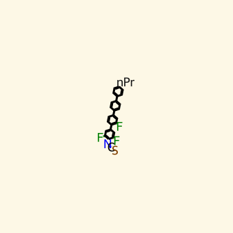 CCCc1ccc(-c2ccc(-c3ccc(-c4cc(F)c(N=C=S)c(F)c4)c(F)c3)cc2)cc1